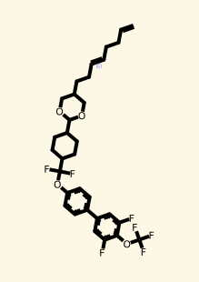 C=CCC/C=C/CCC1COC(C2CCC(C(F)(F)Oc3ccc(-c4cc(F)c(OC(F)(F)F)c(F)c4)cc3)CC2)OC1